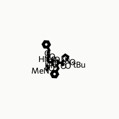 CNC(=O)C[C@H](NC(=O)OCc1ccccc1)C(=O)NC(Cc1ccccc1)C(O)C(=O)N1CCC[C@H]1C(=O)OC(C)(C)C